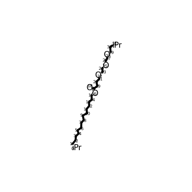 CC(C)CCCCCCCCCCCCCCCOC(=O)CCCOCCOCCOCCC(C)C